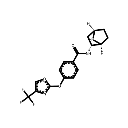 O=C(N[C@@H]1C[C@H]2CC[C@@H]1N2)c1ccc(Oc2nc(C(F)(F)F)co2)cc1